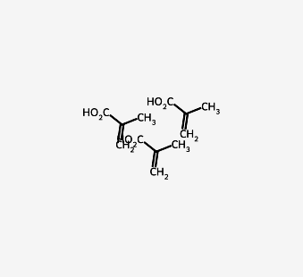 C=C(C)C(=O)O.C=C(C)C(=O)O.C=C(C)C(=O)O